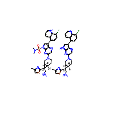 Cc1csc([C@@]2(CN)[C@@H]3CCN(c4cnc5c(-c6ccc(F)c7ncccc67)c[nH]c5n4)C[C@@H]32)n1.Cc1csc([C@@]2(CN)[C@@H]3CCN(c4cnc5c(-c6ccc(F)c7ncccc67)cn(S(=O)(=O)N(C)C)c5n4)C[C@@H]32)n1